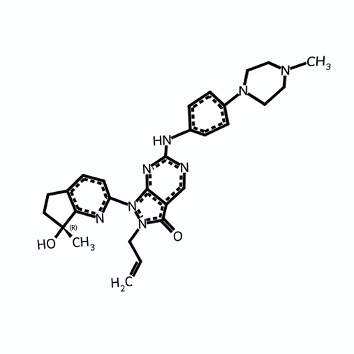 C=CCn1c(=O)c2cnc(Nc3ccc(N4CCN(C)CC4)cc3)nc2n1-c1ccc2c(n1)[C@](C)(O)CC2